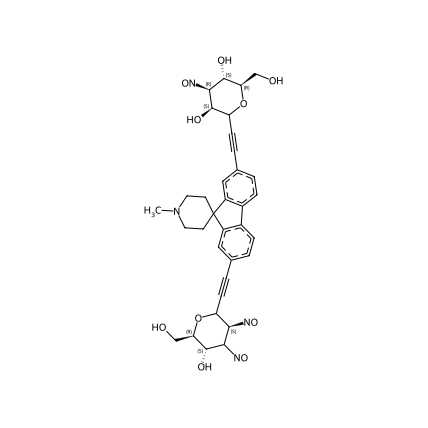 CN1CCC2(CC1)c1cc(C#CC3O[C@H](CO)[C@@H](O)C(N=O)[C@@H]3N=O)ccc1-c1ccc(C#CC3O[C@H](CO)[C@@H](O)[C@H](N=O)[C@@H]3O)cc12